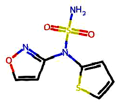 NS(=O)(=O)N(c1ccon1)c1cccs1